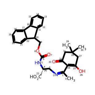 CC(=NC[C@@H](NC(=O)OCC1c2ccccc2-c2ccccc21)C(=O)O)C1=C(O)CC(C)(C)CC1=O